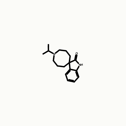 CC(C)N1CCCC2(CCC1)C(=O)Nc1ccccc12